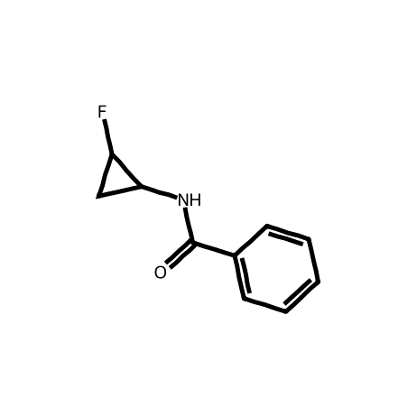 O=C(NC1CC1F)c1ccccc1